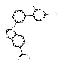 COc1ncc(-c2cccc(-n3cnc4cc(C(=N)NO)ccc43)c2)c(OC)n1